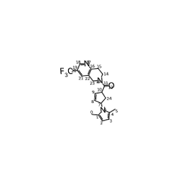 Cc1ccc(C)n1C1C=CC(C(=O)N2CCc3ncc(C(F)(F)F)cc3C2)C1